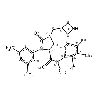 Cc1cc(C(F)(F)F)cc(N2C(=O)N(CC3CNC3)C[C@H]2C(=O)N(C)c2ccc(F)c(Cl)c2F)n1